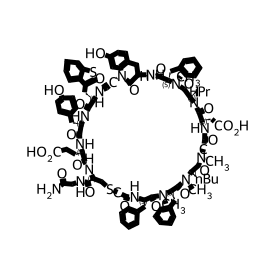 CCCC[C@H]1C(=O)N(C)CC(=O)N[C@@H](CC(=O)O)C(=O)N[C@@H](C(C)C)C(=O)N(C)[C@@H](Cc2ccccc2)C(=O)N[C@H]2Cc3ccc(O)cc3N(CC(=O)N[C@@H](Cc3csc4ccccc34)C(=O)N[C@@H](Cc3ccc(O)cc3)C(=O)N[C@@H](CCC(=O)O)C(=O)N[C@H](C(=O)NCC(N)=O)CSCC(=O)N[C@@H](Cc3ccccc3)C(=O)N(C)[C@@H](Cc3ccccc3)C(=O)N1C)C2=O